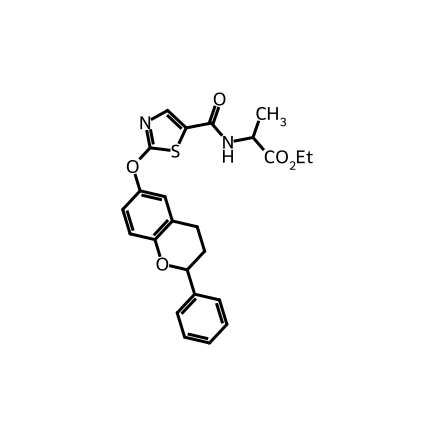 CCOC(=O)C(C)NC(=O)c1cnc(Oc2ccc3c(c2)CCC(c2ccccc2)O3)s1